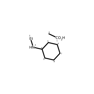 CC(=O)O.CCNC1CCCCC1